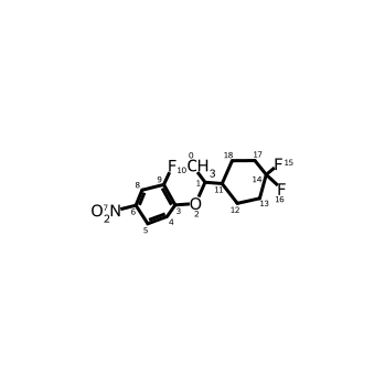 CC(Oc1ccc([N+](=O)[O-])cc1F)C1CCC(F)(F)CC1